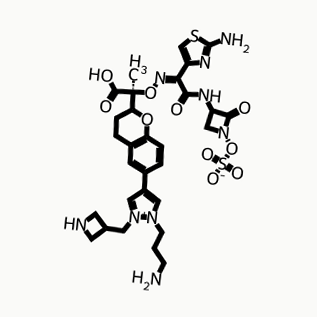 C[C@@](O/N=C(\C(=O)NC1CN(OS(=O)(=O)[O-])C1=O)c1csc(N)n1)(C(=O)O)C1CCc2cc(-c3cn(CCCN)[n+](CC4CNC4)c3)ccc2O1